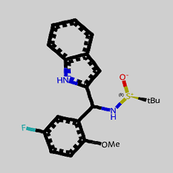 COc1ccc(F)cc1C(N[S@@+]([O-])C(C)(C)C)c1cc2ccccc2[nH]1